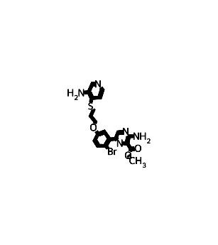 COC(=O)c1nc(-c2cc(OCCCSc3ccncc3N)ccc2Br)cnc1N